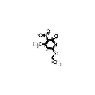 CCSc1cc(C)c([N+](=O)[O-])c(Cl)n1